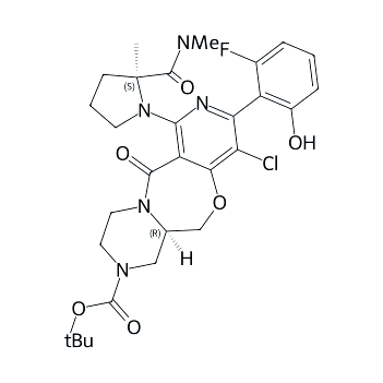 CNC(=O)[C@]1(C)CCCN1c1nc(-c2c(O)cccc2F)c(Cl)c2c1C(=O)N1CCN(C(=O)OC(C)(C)C)C[C@@H]1CO2